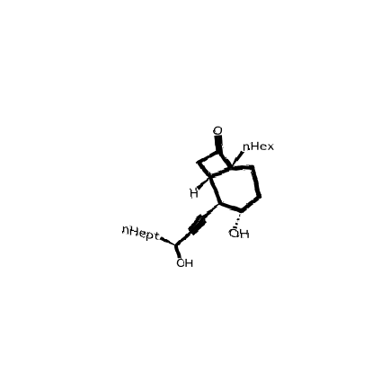 CCCCCCC[C@H](O)C#C[C@@H]1[C@@H](O)CC[C@@]2(CCCCCC)C(=O)C[C@@H]12